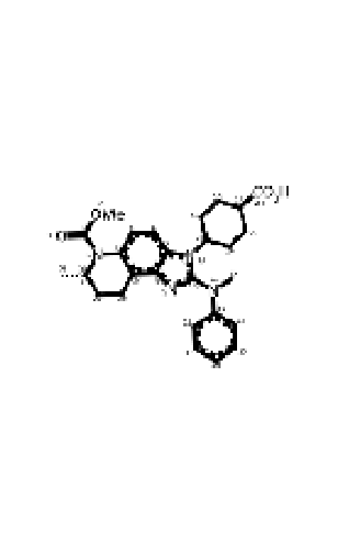 COC(=O)N1c2ccc3c(nc(N(C)c4ccccc4)n3C3CCC(C(=O)O)CC3)c2CC[C@@H]1C